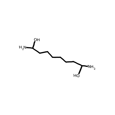 NC(O)CCCCCCC(N)O